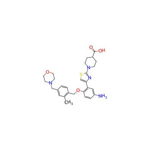 Cc1cc(CN2CCOCC2)ccc1COc1ccc(N)cc1-c1csc(N2CCC(C(=O)O)CC2)n1